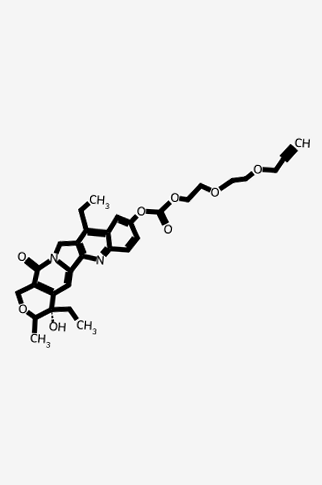 C#CCOCCOCCOC(=O)Oc1ccc2nc3c(c(CC)c2c1)Cn1c-3cc2c(c1=O)COC(C)[C@]2(O)CC